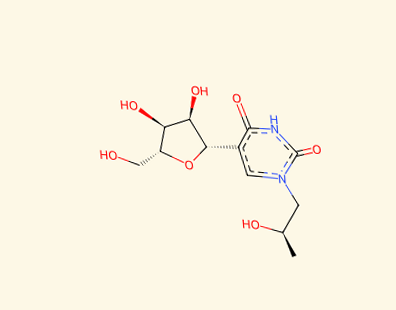 C[C@@H](O)Cn1cc([C@@H]2O[C@H](CO)[C@@H](O)[C@H]2O)c(=O)[nH]c1=O